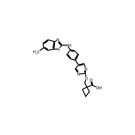 Cc1ccc2nc(Nc3ccc(-c4cnc(OCC5(C(=O)O)CCC5)nc4)cc3)sc2c1